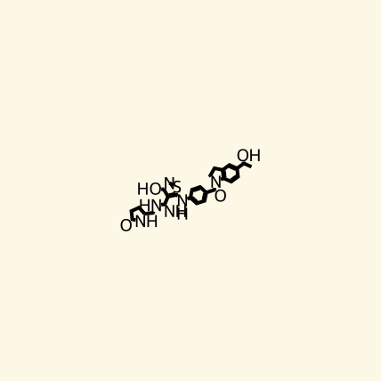 CC(O)c1ccc2c(c1)CCN2C(=O)c1ccc(Nc2snc(O)c2C(=N)NCC2CCC(=O)N2)cc1